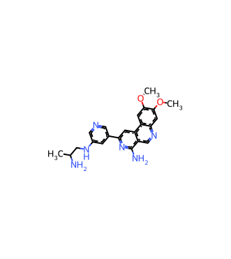 COc1cc2ncc3c(N)nc(-c4cncc(NCC(C)N)c4)cc3c2cc1OC